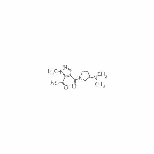 CN(C)C1CCN(C(=O)c2cnn(C)c2C(=O)O)C1